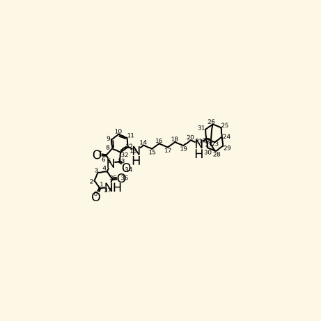 O=C1CCC(N2C(=O)c3cccc(NCCCCCCCNC45CC6CC(CC(C6)C4)C5)c3C2=O)C(=O)N1